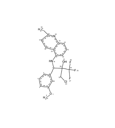 COc1cccc(C(Nc2cccc3nc(C)ccc23)C(O)(CCl)C(F)(F)F)c1